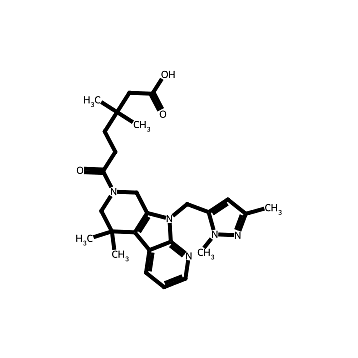 Cc1cc(Cn2c3c(c4cccnc42)C(C)(C)CN(C(=O)CCC(C)(C)CC(=O)O)C3)n(C)n1